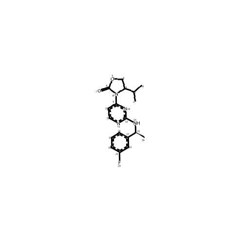 CC(C)C1COC(=O)N1c1ccnc(N[C@@H](C)c2cccc(F)c2)n1